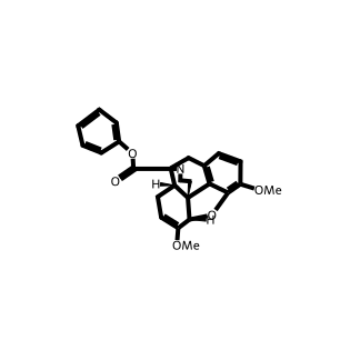 COC1=CC[C@@H]2C3Cc4ccc(OC)c5c4[C@]2(CCN3C(=O)Oc2ccccc2)[C@@H]1O5